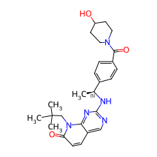 C[C@H](Nc1ncc2ccc(=O)n(CC(C)(C)C)c2n1)c1ccc(C(=O)N2CCC(O)CC2)cc1